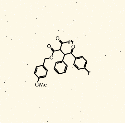 COc1ccc(COC(=O)C(C(=O)C(C)C)C(C(=O)c2ccc(F)cc2)c2ccccc2)cc1